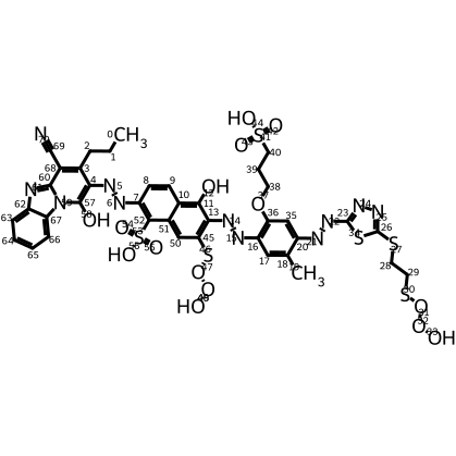 CCCc1c(N=Nc2ccc3c(O)c(N=Nc4cc(C)c(N=Nc5nnc(SCCSOOO)s5)cc4OCCCS(=O)(=O)O)c(SOOO)cc3c2S(=O)(=O)O)c(O)n2c(nc3ccccc32)c1C#N